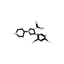 O=C(O)[C@H]1CN(C2CCOCC2)C[C@@H]1c1ccc(F)cc1F